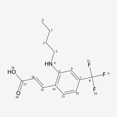 CCCCNc1cc(C(F)(F)F)ccc1/C=C/C(=O)O